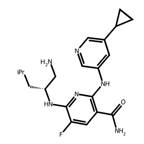 CC(C)C[C@H](CN)Nc1nc(Nc2cncc(C3CC3)c2)c(C(N)=O)cc1F